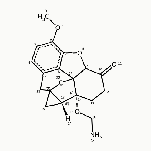 COc1ccc2c3c1OC1C(=O)CC[C@@]4(OCN)[C@@H]5CC5(C2)CC314